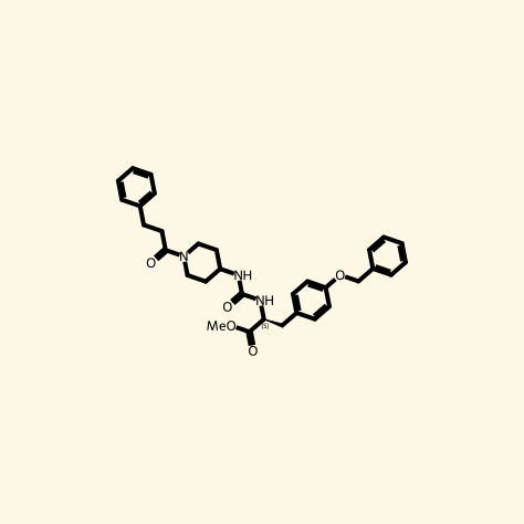 COC(=O)[C@H](Cc1ccc(OCc2ccccc2)cc1)NC(=O)NC1CCN(C(=O)CCc2ccccc2)CC1